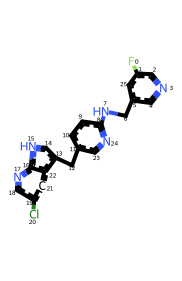 Fc1cncc(CNc2ccc(Cc3c[nH]c4ncc(Cl)cc34)cn2)c1